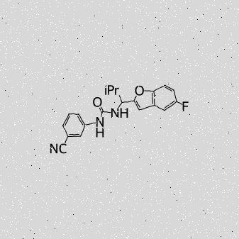 CC(C)C(NC(=O)Nc1cccc(C#N)c1)c1cc2cc(F)ccc2o1